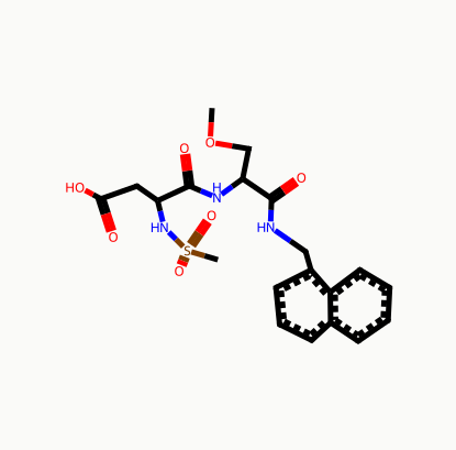 COCC(NC(=O)C(CC(=O)O)NS(C)(=O)=O)C(=O)NCc1cccc2ccccc12